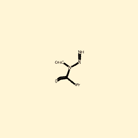 CC(C)C(=O)N(C=O)N=N